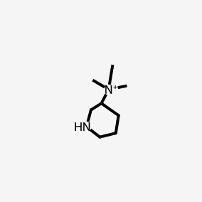 C[N+](C)(C)C1CCCNC1